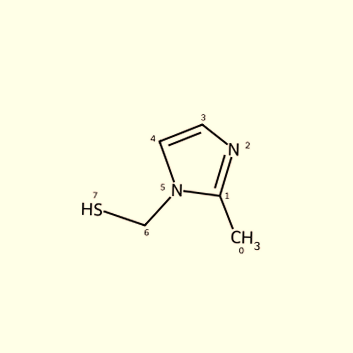 Cc1nccn1CS